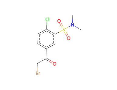 CN(C)S(=O)(=O)c1cc(C(=O)CBr)ccc1Cl